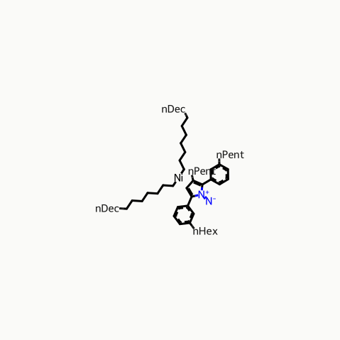 CCCCCCCCCCCCCCCC[CH2][Ni][CH2]CCCCCCCCCCCCCCCC.CCCCCCc1cccc(C2=CC(CCCCC)=C(c3cccc(CCCCC)c3)[N+]2=[N-])c1